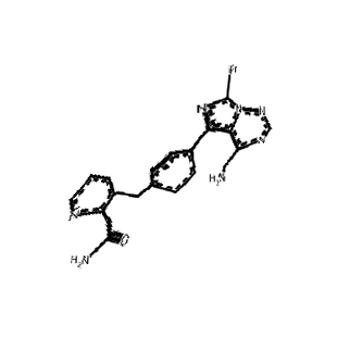 CC(C)c1nc(-c2ccc(Cc3cccnc3C(N)=O)cc2)c2c(N)ncnn12